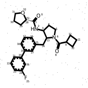 O=C(NC1CCN(C(=O)C2CCC2)C1Cc1cccc(-c2cccc(F)c2)c1)[C@@H]1CCCO1